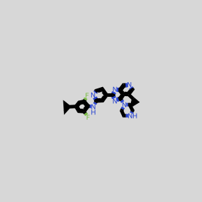 Fc1cc(C2CC2)cc(F)c1Nc1cc(-c2nc(N3CCNCC3)c3c(C4CC4)cncc3n2)ccn1